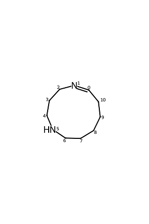 C1=NCCCNCCCCC1